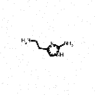 NCCc1c[nH]c(N)n1